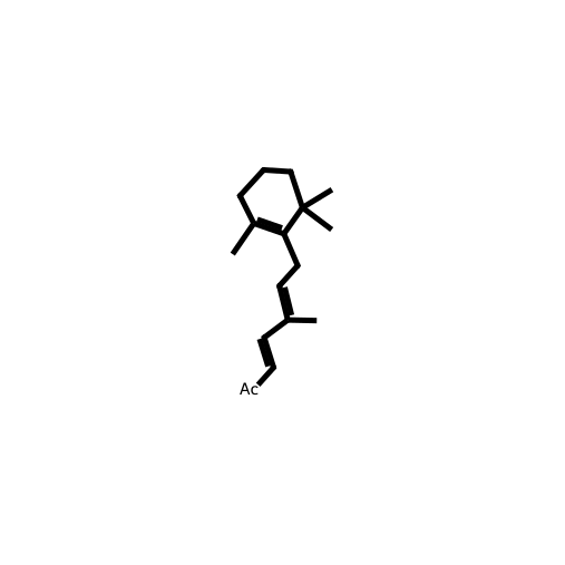 CC(=O)/C=C/C(C)=C/CC1=C(C)CCCC1(C)C